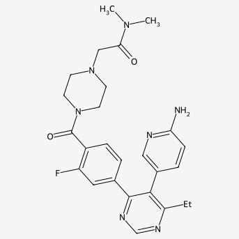 CCc1ncnc(-c2ccc(C(=O)N3CCN(CC(=O)N(C)C)CC3)c(F)c2)c1-c1ccc(N)nc1